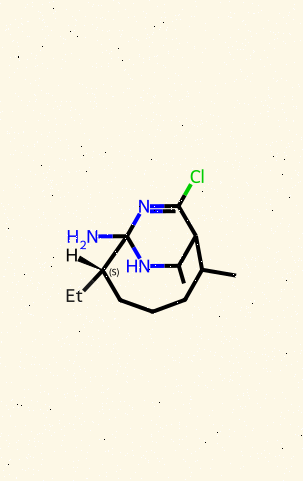 CC[C@H]1CCCC(C)C2C(Cl)=NC1(N)NC2C